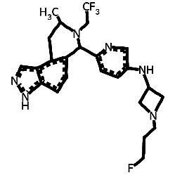 CC1Cc2c(ccc3[nH]ncc23)C(c2ccc(NC3CN(CCCF)C3)cn2)N1CC(F)(F)F